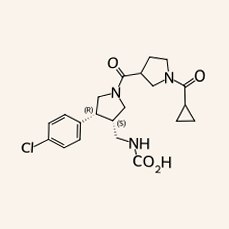 O=C(O)NC[C@H]1CN(C(=O)C2CCN(C(=O)C3CC3)C2)C[C@H]1c1ccc(Cl)cc1